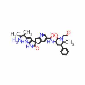 CC1C(c2ccccc2)CC(NC(=O)c2cnc3c(c2)C[C@@]2(C3)C(=O)Nc3[nH]c([C@H](C)[C@H](C)N)cc32)C(=O)N1CC=O